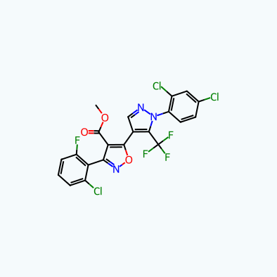 COC(=O)c1c(-c2c(F)cccc2Cl)noc1-c1cnn(-c2ccc(Cl)cc2Cl)c1C(F)(F)F